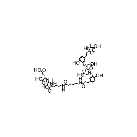 C[C@H](NC(=O)CCc1ccc(O)c(CN(CCN(CC(=O)O)Cc2cc(CCC(=O)NCCCCCC(=O)NCCCC[C@H](NC(=O)N[C@@H](CCC(=O)O)C(=O)O)C(=O)O)ccc2O)CC(=O)O)c1)C(=O)O